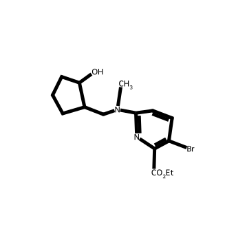 CCOC(=O)c1nc(N(C)CC2CCCC2O)ccc1Br